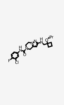 CC(C)OC1(CNc2cc3n(n2)CCN(C(=O)Nc2ccc(F)c(Cl)c2)C3)CCC1